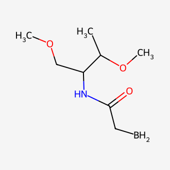 BCC(=O)NC(COC)C(C)OC